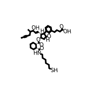 CC#CCC(C)[C@H](O)/C=C/[C@H]1C(OC(=O)[C@H]2CCCC[C@H]2C(=O)NCCCCCCS)C[C@@H]2Oc3c(CCCC(=O)O)cccc3[C@@H]21